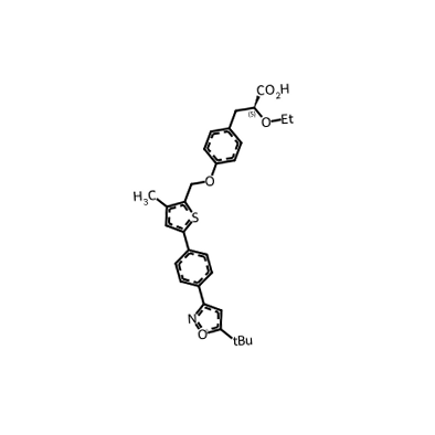 CCO[C@@H](Cc1ccc(OCc2sc(-c3ccc(-c4cc(C(C)(C)C)on4)cc3)cc2C)cc1)C(=O)O